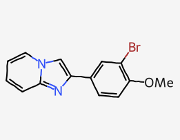 COc1ccc(-c2cn3ccccc3n2)cc1Br